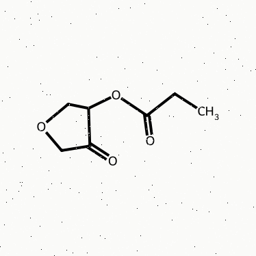 CCC(=O)OC1COCC1=O